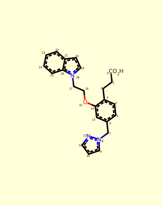 O=C(O)CCc1ccc(Cn2cccn2)cc1OCCn1ccc2ccccc21